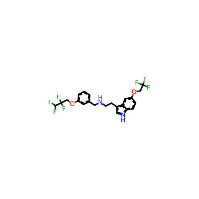 FC(F)C(F)(F)COc1cccc(CNCCc2c[nH]c3ccc(OCC(F)(F)F)cc23)c1